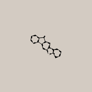 O=C1c2ccccc2-c2cc3[nH]c4ccccc4c3cc21